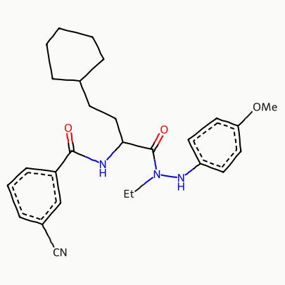 CCN(Nc1ccc(OC)cc1)C(=O)C(CCC1CCCCC1)NC(=O)c1cccc(C#N)c1